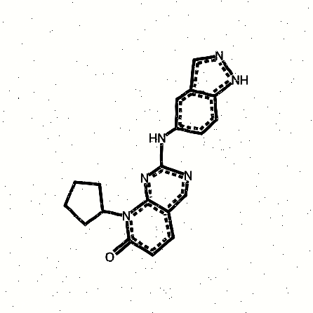 O=c1ccc2cnc(Nc3ccc4[nH]ncc4c3)nc2n1C1CCCC1